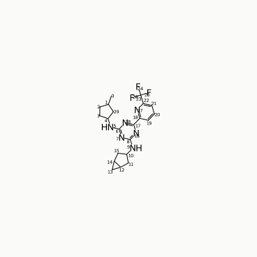 CC1CCC(Nc2nc(NC3CC4CC4C3)nc(-c3cccc(C(F)(F)F)n3)n2)C1